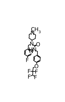 CN1CCC(N(Cc2ccc(F)cn2)C(=O)NCc2ccc(OCC(F)(F)C(F)F)cc2)CC1